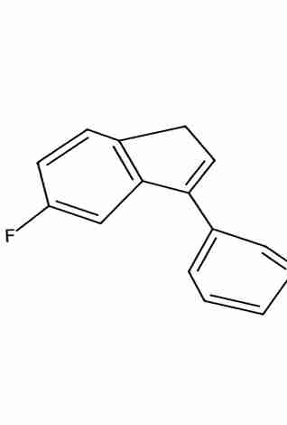 Fc1ccc2c(c1)C(c1ccccc1)=CC2